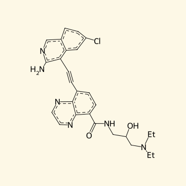 CCN(CC)CC(O)CNC(=O)c1ccc(C#Cc2c(N)ncc3ccc(Cl)cc23)c2nccnc12